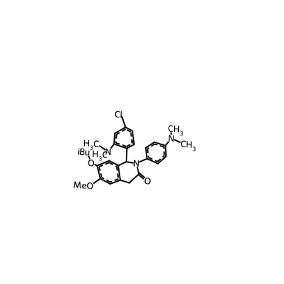 CCC(C)Oc1cc2c(cc1OC)CC(=O)N(c1ccc(N(C)C)cc1)C2c1ccc(Cl)cc1N(C)C